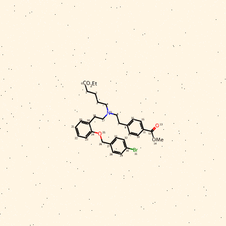 CCOC(=O)CCCCN(CCc1ccc(C(=O)OC)cc1)CCc1ccccc1OCc1ccc(Br)cc1